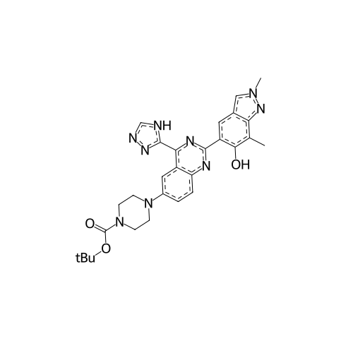 Cc1c(O)c(-c2nc(-c3nnc[nH]3)c3cc(N4CCN(C(=O)OC(C)(C)C)CC4)ccc3n2)cc2cn(C)nc12